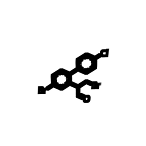 O=CC(CBr)c1cc(Br)ccc1-c1ccc(Cl)cc1